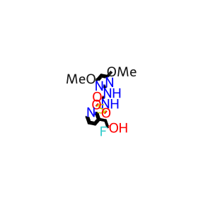 COc1cc(OC)nc(NC(=O)NS(=O)(=O)c2ncccc2CC(O)F)n1